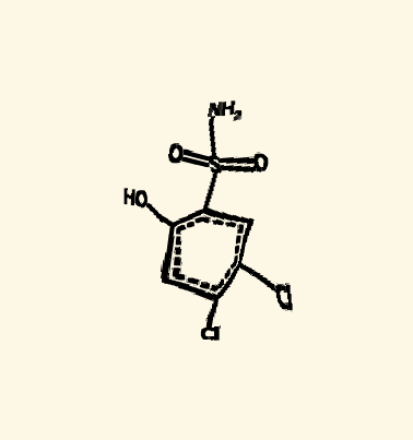 NS(=O)(=O)c1cc(Cl)c(Cl)cc1O